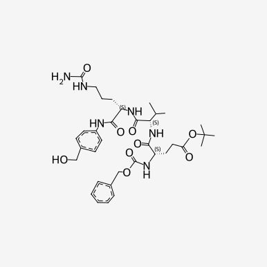 CC(C)[C@H](NC(=O)[C@H](CCC(=O)OC(C)(C)C)NC(=O)OCc1ccccc1)C(=O)N[C@@H](CCCNC(N)=O)C(=O)Nc1ccc(CO)cc1